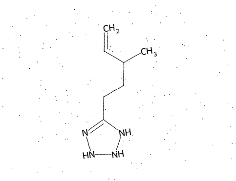 C=CC(C)CCC1=NNNN1